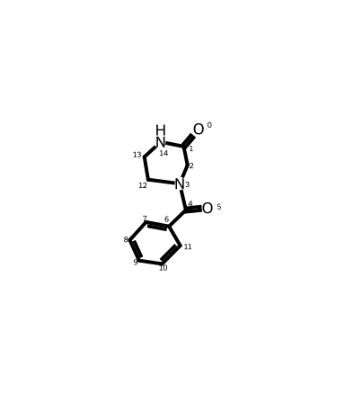 O=C1CN(C(=O)c2ccccc2)CCN1